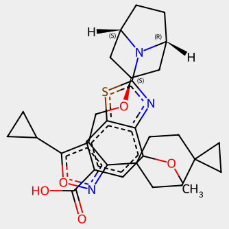 COc1cc(C(=O)O)cc2sc(N3[C@@H]4CC[C@H]3C[C@H](OCc3c(C5CCC6(CC5)CC6)noc3C3CC3)C4)nc12